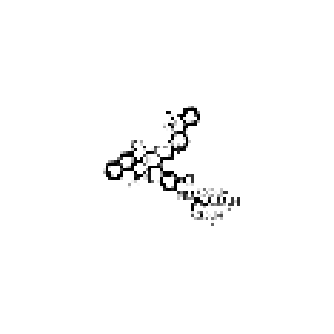 CN(CC(CCN1CCC(c2ccccc2[S+](C)[O-])CC1)c1ccc(Cl)c(Cl)c1)C(=O)c1c(OCC(F)(F)F)c(C#N)cc2ccccc12.O=C(O)CC(O)(CC(=O)O)C(=O)O